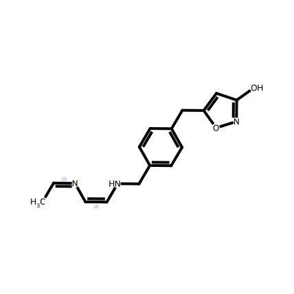 C/C=N\C=C/NCc1ccc(Cc2cc(O)no2)cc1